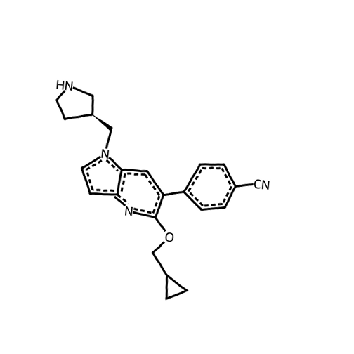 N#Cc1ccc(-c2cc3c(ccn3C[C@H]3CCNC3)nc2OCC2CC2)cc1